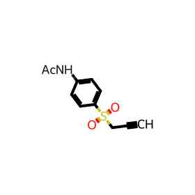 C#CCS(=O)(=O)c1ccc(NC(C)=O)cc1